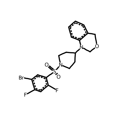 O=S(=O)(c1cc(Br)c(F)cc1F)N1CCC(N2COCc3ccccc32)CC1